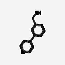 SCc1cccc(-c2ccncc2)c1